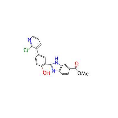 COC(=O)c1ccc2nc(-c3cc(-c4cccnc4Cl)ccc3O)[nH]c2c1